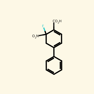 O=C(O)C1=CC=C(c2ccccc2)CC1(F)[N+](=O)[O-]